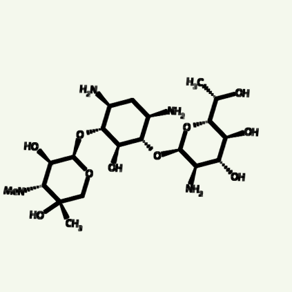 CN[C@@H]1[C@@H](O)[C@@H](O[C@H]2[C@H](O)[C@@H](O[C@H]3O[C@H]([C@H](C)O)[C@@H](O)[C@H](O)[C@H]3N)[C@H](N)C[C@@H]2N)OC[C@]1(C)O